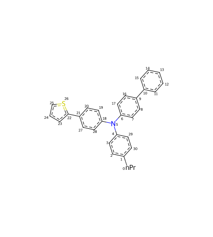 CCCc1ccc(N(c2ccc(-c3ccccc3)cc2)c2ccc(-c3cccs3)cc2)cc1